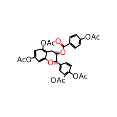 CC(=O)Oc1ccc(C(=O)O[C@@H]2Cc3c(OC(C)=O)cc(OC(C)=O)cc3O[C@@H]2c2ccc(OC(C)=O)c(OC(C)=O)c2)cc1